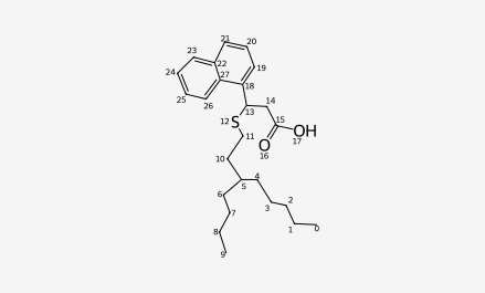 CCCCCC(CCCC)CCSC(CC(=O)O)c1cccc2ccccc12